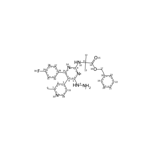 Cc1cc(-c2c(NN)nc(NC(C)(C)C(=O)OCc3ccccc3)nc2-c2ccc(F)cc2)ccn1